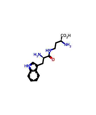 N[C@H](Cc1c[nH]c2ccccc12)C(=O)NCC[C@H](N)C(=O)O